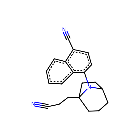 N#CCCC12C[CH]CC(CC1)N2c1ccc(C#N)c2ccccc12